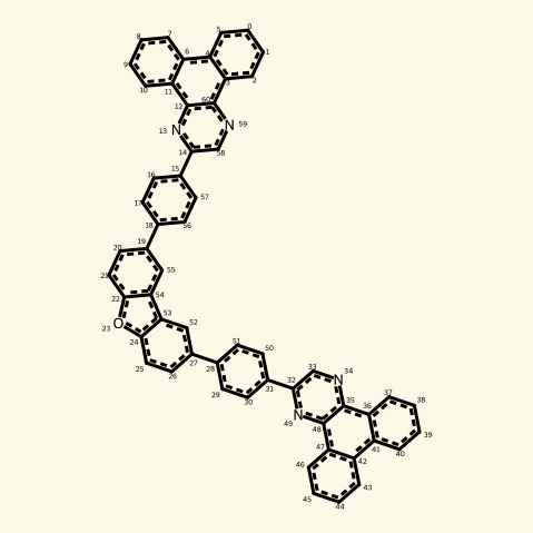 c1ccc2c(c1)c1ccccc1c1nc(-c3ccc(-c4ccc5oc6ccc(-c7ccc(-c8cnc9c%10ccccc%10c%10ccccc%10c9n8)cc7)cc6c5c4)cc3)cnc21